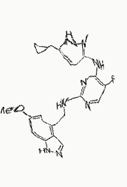 COc1cc(CNc2ncc(F)c(Nc3cc(C4CC4)[nH]n3)n2)c2cn[nH]c2c1